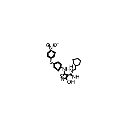 N=C(NCC1CCCCC1)c1c(O)nsc1Nc1ccc(Sc2ccc([N+](=O)[O-])cc2)cc1